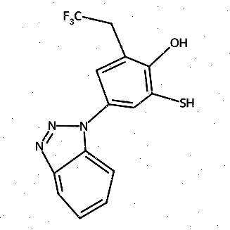 Oc1c(S)cc(-n2nnc3ccccc32)cc1CC(F)(F)F